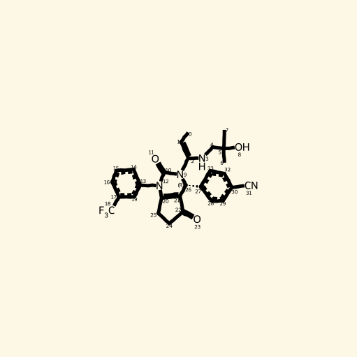 CC=C(NCC(C)(C)O)N1C(=O)N(c2cccc(C(F)(F)F)c2)C2=C(C(=O)CC2)[C@H]1c1ccc(C#N)cc1